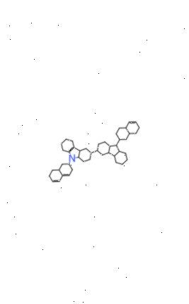 C1=CC2=CCC(N3C4=C(CCCC4)C4CC(C5CCC6C(C5)C5CCCCC5C6C5CCC6C=CCCC6C5)CCC43)CC2CC1